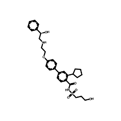 O=C(NS(=O)(=O)CCCO)c1ccc(-c2ccc(OCCNC[C@H](O)c3ccccc3)cc2)cc1C1CCCC1